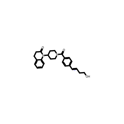 O=C(c1ccc(/C=C/CCO)cc1)N1CCC(N2C(=O)CCc3ccccc32)CC1